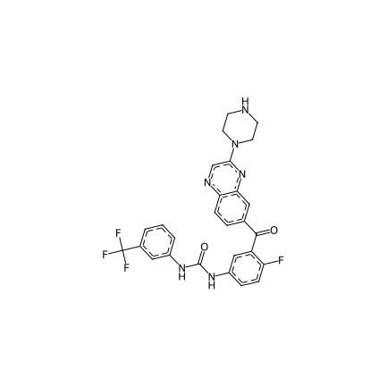 O=C(Nc1cccc(C(F)(F)F)c1)Nc1ccc(F)c(C(=O)c2ccc3ncc(N4CCNCC4)nc3c2)c1